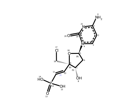 Nc1ccn([C@H]2C[C@H](O)[C@](/C=C/P(=O)(O)O)(CCl)O2)c(=O)n1